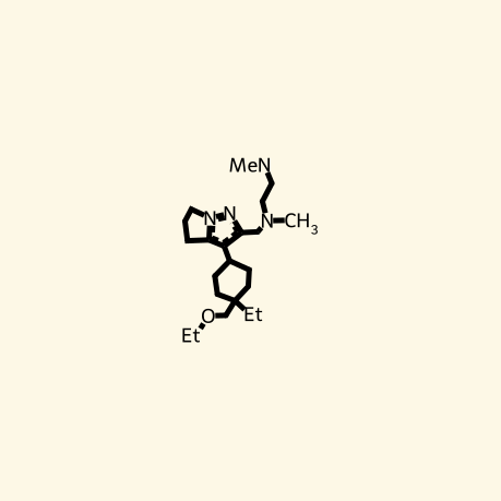 CCOCC1(CC)CCC(c2c(CN(C)CCNC)nn3c2CCC3)CC1